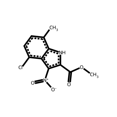 COC(=O)c1[nH]c2c(C)ccc(Cl)c2c1[N+](=O)[O-]